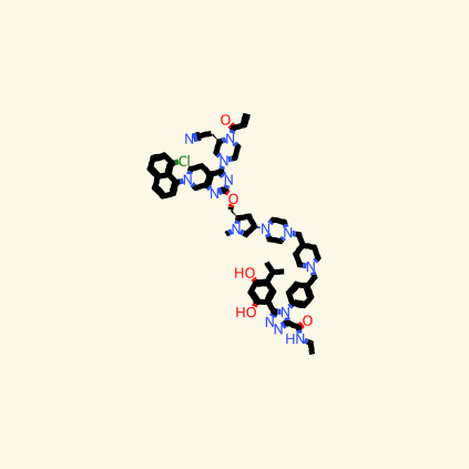 C=CC(=O)N1CCN(c2nc(OC[C@@H]3C[C@H](N4CCN(CC5CCN(Cc6ccc(-n7c(C(=O)NCC)nnc7-c7cc(C(C)C)c(O)cc7O)cc6)CC5)CC4)CN3C)nc3c2CCN(c2cccc4cccc(Cl)c24)C3)C[C@@H]1CC#N